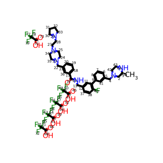 C[C@H]1CN(Cc2cccc(-c3cc(CNC(=O)c4cccc(CN5CCN(CCN6CCCC6)CC5)c4)ccc3F)c2)CCN1.O=C(O)C(F)(F)F.O=C(O)C(F)(F)F.O=C(O)C(F)(F)F.O=C(O)C(F)(F)F.O=C(O)C(F)(F)F